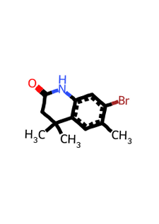 Cc1cc2c(cc1Br)NC(=O)CC2(C)C